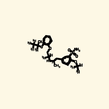 [2H]C([2H])(COc1ccccc1OC([2H])(C)C([2H])([2H])[2H])N[C@H](C)Cc1ccc(OC([2H])([2H])[2H])c(S(N)(=O)=O)c1